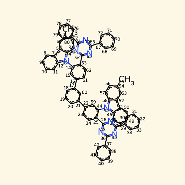 Cc1ccc2c(c1)c1ccccc1n2-c1cc(-c2cccc(-c3ccc(-c4nc(-c5ccccc5)nc(-c5ccccc5)n4)c(-n4c5ccccc5c5cc(C)ccc54)c3)c2)ccc1-c1nc(-c2ccccc2)nc(-c2ccccc2)n1